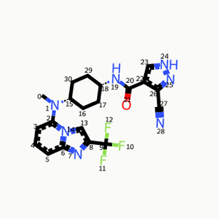 CN(c1cccc2nc(C(F)(F)F)cn12)[C@H]1CC[C@@H](NC(=O)c2c[nH]nc2C#N)CC1